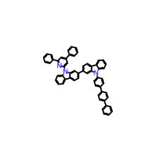 c1ccc(-c2ccc(-c3ccc(-n4c5ccccc5c5ccc(-c6ccc7c8ccccc8n(-c8cc(-c9ccccc9)cc(-c9ccccc9)n8)c7c6)cc54)cc3)cc2)cc1